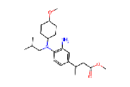 COC(=O)CC(C)c1ccc(N(CC(C)C)C2CCC(OC)CC2)c(N)c1